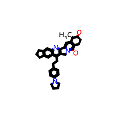 CC1C(=O)CCc2c1cc1n(c2=O)Cc2c-1nc1cc3c(cc1c2CCc1ccc(N2CCCC2)cc1)CCC3